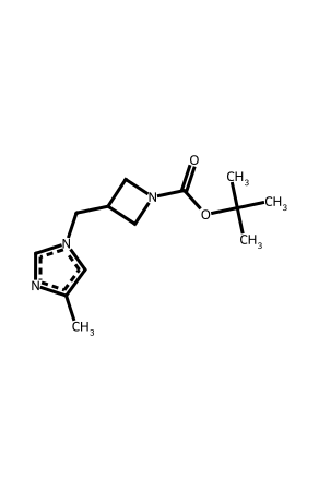 Cc1cn(CC2CN(C(=O)OC(C)(C)C)C2)cn1